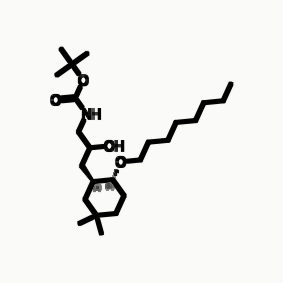 CCCCCCCCO[C@@H]1CCC(C)(C)C[C@H]1CC(O)CNC(=O)OC(C)(C)C